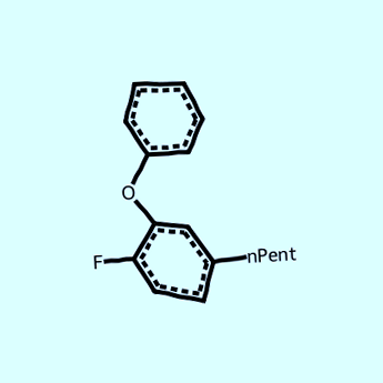 CCCCCc1ccc(F)c(Oc2ccccc2)c1